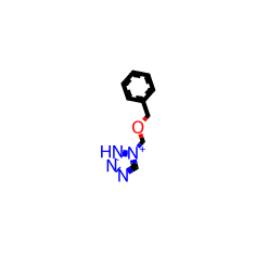 c1ccc(COC[n+]2cnn[nH]2)cc1